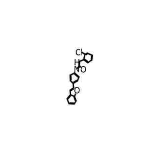 O=C(Cc1ccccc1Cl)Nc1ccc(-c2cc3ccccc3o2)cc1